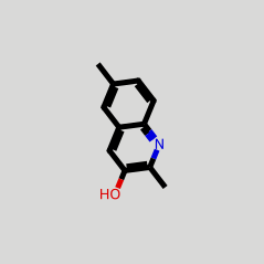 Cc1ccc2nc(C)c(O)cc2c1